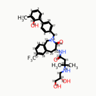 Cc1cccc(-c2ccc(CN3Cc4ccc(C(F)(F)F)cc4C[C@@H](NC(=O)CC(C)(C)NC[C@H](O)CO)C3=O)cc2)c1O